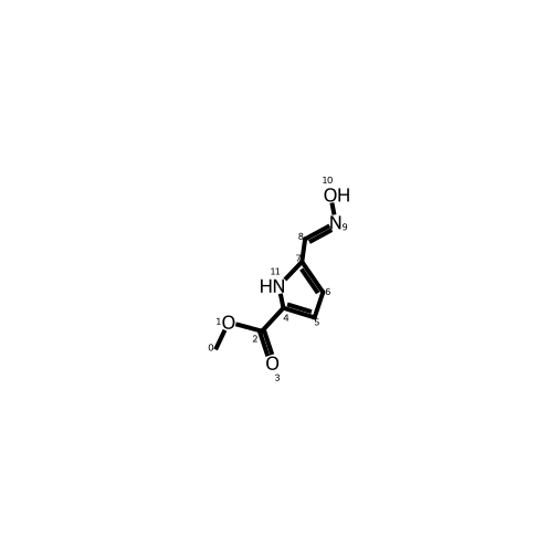 COC(=O)c1ccc(C=NO)[nH]1